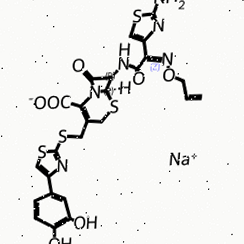 C=CCO/N=C(\C(=O)N[C@@H]1C(=O)N2C(C(=O)[O-])=C(CSc3nc(-c4ccc(O)c(O)c4)cs3)CS[C@H]12)c1csc(N)n1.[Na+]